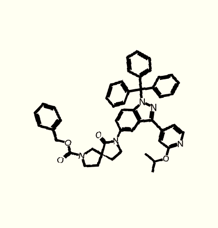 CC(C)Oc1cc(-c2nn(C(c3ccccc3)(c3ccccc3)c3ccccc3)c3ccc(N4CC[C@]5(CCN(C(=O)OCc6ccccc6)C5)C4=O)cc23)ccn1